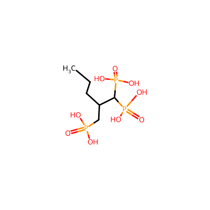 CCCC(CP(=O)(O)O)C(P(=O)(O)O)P(=O)(O)O